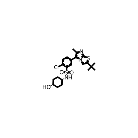 Cc1nc2sc(C(C)(C)C)cn2c1-c1ccc(Cl)c(S(=O)(=O)N[C@H]2CC[C@@H](O)CC2)c1